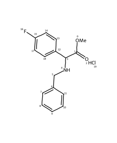 COC(=O)C(NCc1ccccc1)c1ccc(F)cc1.Cl